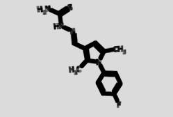 Cc1cc(/C=N/NC(N)=S)c(C)n1-c1ccc(F)cc1